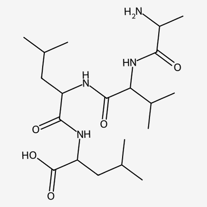 CC(C)CC(NC(=O)C(CC(C)C)NC(=O)C(NC(=O)C(C)N)C(C)C)C(=O)O